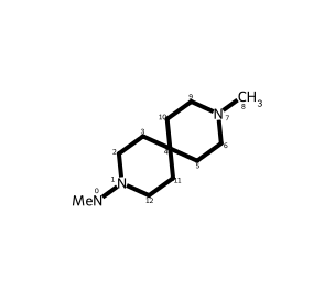 CNN1CCC2(CCN(C)CC2)CC1